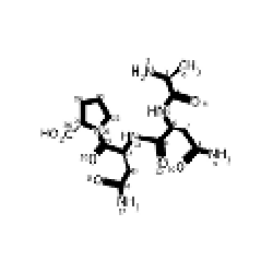 C[C@H](N)C(=O)N[C@@H](CC(N)=O)C(=O)N[C@@H](CC(N)=O)C(=O)N1CCC[C@H]1C(=O)O